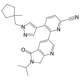 CC(C)N1Cc2ncc(-c3nc(C#N)ccc3-c3cnn(CC4(C)CCCC4)c3)cc2C1=O